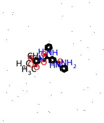 COc1cc(NC(=O)C(C(=O)Nc2ccccc2)c2ccc(C(=O)Nc3ccccc3N)cc2)cc(OC)c1OC